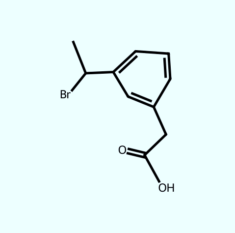 CC(Br)c1cccc(CC(=O)O)c1